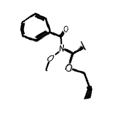 C#CCOC(I)N(OC)C(=O)c1ccccc1